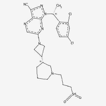 C[C@H](c1ccc(Cl)cc1Cl)n1nc(C#N)c2ncc(N3CC([C@H]4CCCN(CCC[SH](=O)=O)C4)C3)nc21